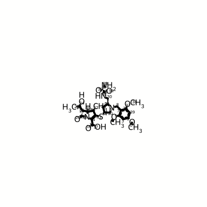 COc1cc(OC)c(CN2C[C@@H](SC3=C(C(=O)O)N4C(=O)[C@H]([C@@H](C)O)[C@H]4[C@H]3C)C[C@H]2CNS(N)(=O)=O)c(OC)c1